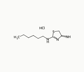 CCCCCCNC1=NC(=N)CS1.Cl